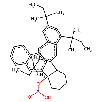 CCC(C)(C)c1cc(C(C)(C)CC)c2cc(C3CCCCC3(OP(O)O)c3ccc4ccccc4c3)c(C(C)(C)CC)cc2c1